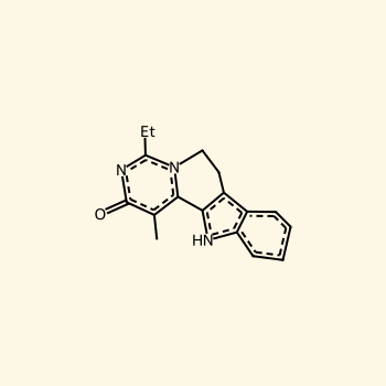 CCc1nc(=O)c(C)c2n1CCc1c-2[nH]c2ccccc12